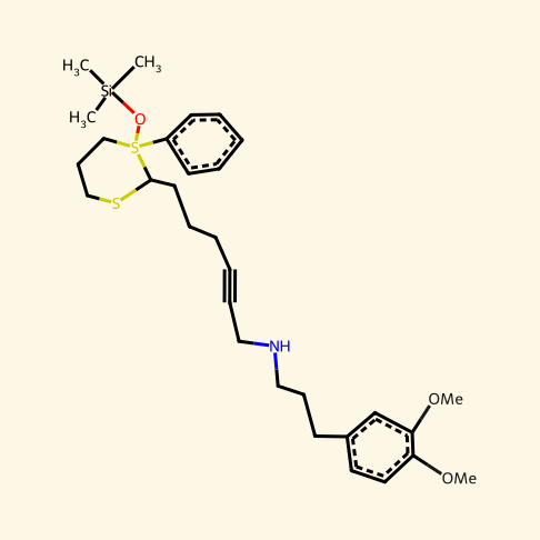 COc1ccc(CCCNCC#CCCCC2SCCCS2(O[Si](C)(C)C)c2ccccc2)cc1OC